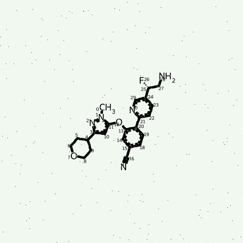 Cn1nc(C2CCOCC2)cc1Oc1cc(C#N)ccc1-c1ccc([C@H](F)CN)cn1